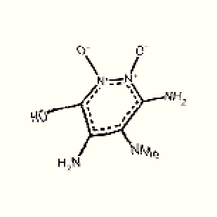 CNc1c(N)c(O)[n+]([O-])[n+]([O-])c1N